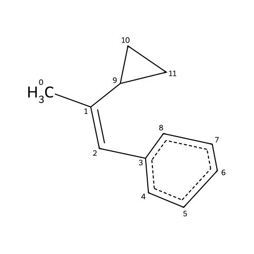 CC(=Cc1ccccc1)C1CC1